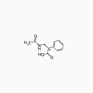 CC(=O)NC[C@H](C(=O)O)c1ccccc1